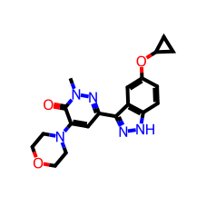 Cn1nc(-c2n[nH]c3ccc(OC4CC4)cc23)cc(N2CCOCC2)c1=O